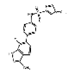 Cn1cnc(S(=O)(=O)Nc2ccc(-c3ccc4c(N)n[nH]c4c3F)cc2)c1